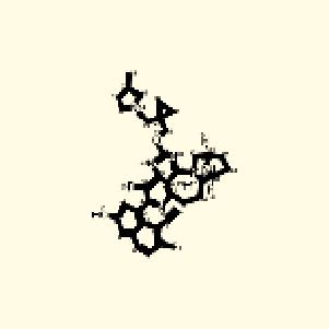 C#Cc1c(F)ccc2cc(O)cc(-c3nc4c5c(nc(OCC6(CN7CCC(C)C7)CC6)nc5c3F)N3C[C@H]5CC[C@H](N5)[C@H]3CC4)c12